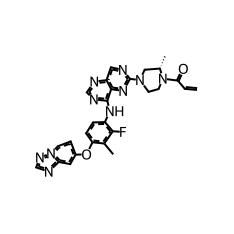 C=CC(=O)N1CCN(c2ncc3ncnc(Nc4ccc(Oc5ccn6ncnc6c5)c(C)c4F)c3n2)C[C@@H]1C